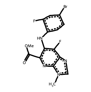 COC(=O)c1nc2c(ncn2C)c(F)c1Nc1ccc(Br)cc1F